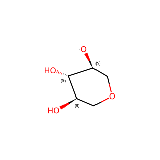 [O][C@H]1COC[C@@H](O)[C@@H]1O